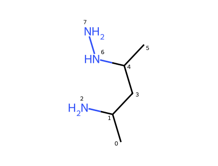 CC(N)CC(C)NN